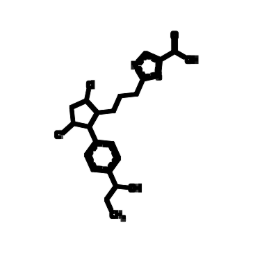 CCC(O)c1ccc(C2C(Cl)CC(Cl)C2CCCc2ncc(C(=O)O)s2)cc1